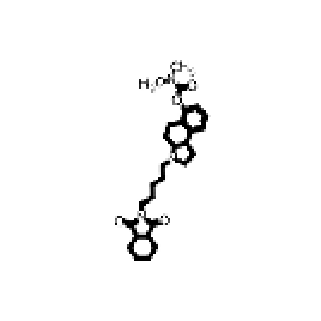 CN(C)C(=O)Oc1cccc2c1CCC1C2CCN1CCCCCN1C(=O)C2CCCCC2C1=O